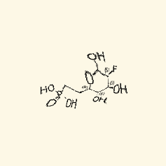 O=P(O)(O)CC[C@H]1OC(O)[C@@H](F)[C@@H](O)[C@@H]1O